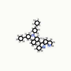 c1ccc(-c2ccc(N(c3ccc(-c4ccccc4)cc3)c3ccc(-c4c5ccccc5nc5c4ccc4cccnc45)c4ccccc34)cc2)cc1